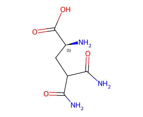 NC(=O)C(C[C@H](N)C(=O)O)C(N)=O